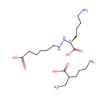 CCCCC(CC)C(=O)O.NCCCC[C@H](NNCCCCCC(=O)O)C(=O)O